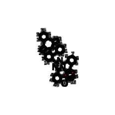 c1ccc(-c2ccccc2-c2nc(-c3cccc4c3-c3ccccc3C43c4ccccc4-c4ccccc4-c4ccccc43)nc(-c3cccc4oc5ccccc5c34)n2)cc1